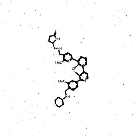 COc1cc(-c2nccc(-c3cccc(-c4ccc(CNC[C@H]5CCC(=O)N5)c(OC)n4)c3Cl)c2Cl)ccc1CNC1CCOCC1